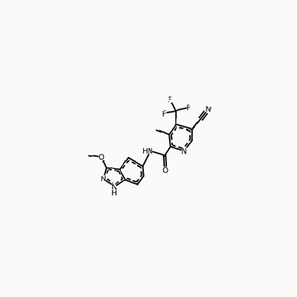 COc1n[nH]c2ccc(NC(=O)c3ncc(C#N)c(C(F)(F)F)c3C)cc12